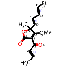 C/C=C/C(=O)C1=C(OC)C(C)(/C=C/C=C/CC)OC1=O